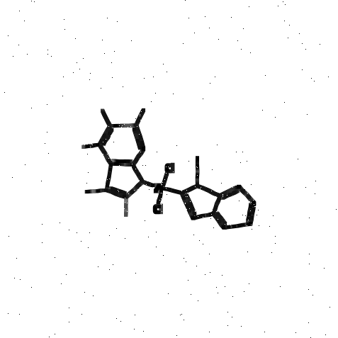 CC1=C(C)[CH]([Zr]([Cl])([Cl])[C]2=Cc3ccccc3C2C)c2cc(C)c(C)c(C)c21